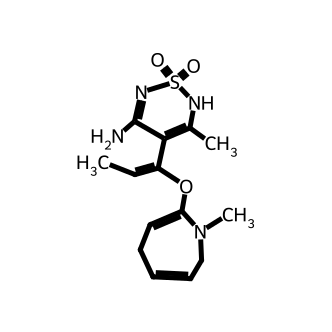 C/C=C(/OC1=CCC=CCN1C)C1=C(C)NS(=O)(=O)N=C1N